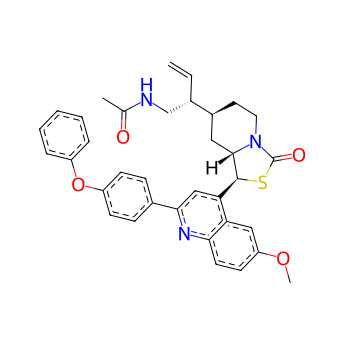 C=C[C@@H](CNC(C)=O)[C@H]1CCN2C(=O)S[C@@H](c3cc(-c4ccc(Oc5ccccc5)cc4)nc4ccc(OC)cc34)[C@@H]2C1